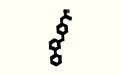 O=C(O)Cc1ccc(Sc2ccnc(-c3ccccn3)n2)cc1